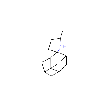 CC1CCC2(N1)C1CC3CC(C1)CC2C3